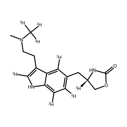 [2H]c1[nH]c2c([2H])c([2H])c(C[C@@]3([2H])COC(=O)N3)c([2H])c2c1CCN(C)C([2H])([2H])[2H]